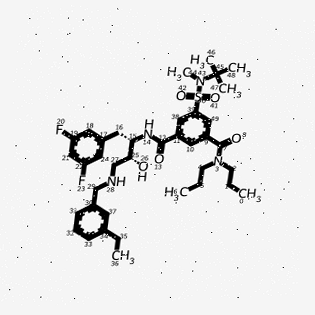 CCCN(CCC)C(=O)c1cc(C(=O)N[C@@H](Cc2cc(F)cc(F)c2)[C@H](O)CNCc2cccc(CC)c2)cc(S(=O)(=O)N(C)C(C)(C)C)c1